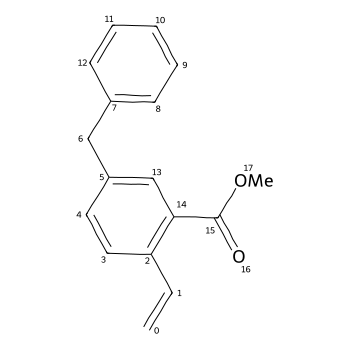 C=Cc1ccc(Cc2ccccc2)cc1C(=O)OC